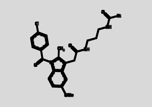 CCC(=O)NCCCNC(=O)Cc1c(C)n(C(=O)c2ccc(Cl)cc2)c2ccc(OC)cc12